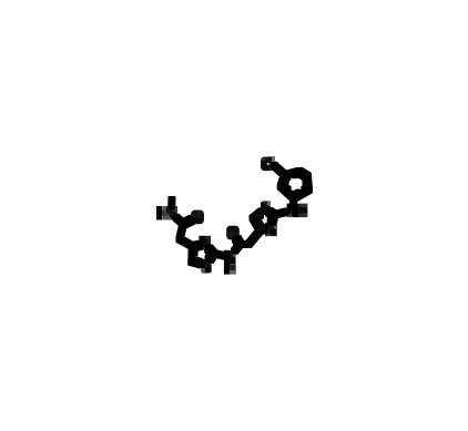 CNC(=O)Cc1csc(NC(=O)Cc2csc(Nc3cccc(Cl)c3)n2)n1